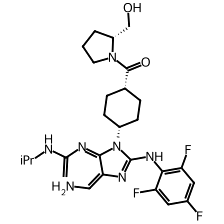 C=C(/N=C1\C(=C/N)N=C(Nc2c(F)cc(F)cc2F)N1[C@H]1CC[C@@H](C(=O)N2CCC[C@@H]2CO)CC1)NC(C)C